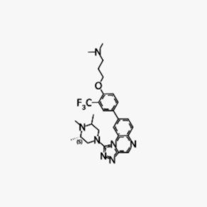 CC1CN(c2nnc3cnc4ccc(-c5ccc(OCCCN(C)C)c(C(F)(F)F)c5)cc4n23)C[C@H](C)N1C